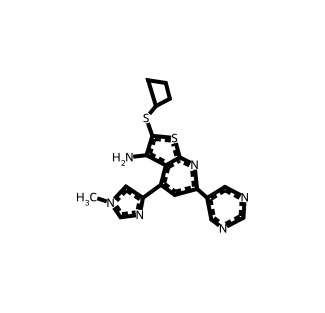 Cn1cnc(-c2cc(-c3cncnc3)nc3sc(SC4CCC4)c(N)c23)c1